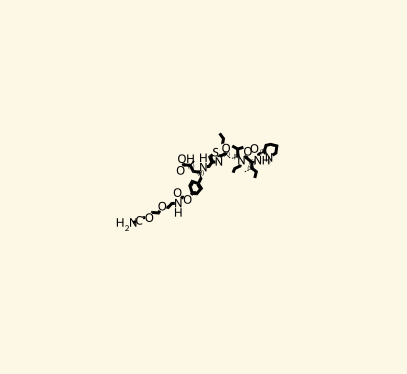 CCCO[C@H](C[C@H](C(C)C)N(CCC)C(=O)[C@@H](NC(=O)[C@H]1CCCCN1C)[C@@H](C)CC)c1nc(CN[C@@H](Cc2ccc(OC(=O)NCCOCCOCCN)cc2)C[C@H](C)C(=O)O)cs1